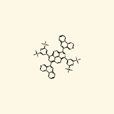 C[Si](C)(C)c1cc(-c2cc(-c3cc4ccccc4c4ccccc34)c3ccc4c(-c5cc([Si](C)(C)C)cc([Si](C)(C)C)c5)cc(-c5cc6ccccc6c6ccccc56)c5ccc2c3c45)cc([Si](C)(C)C)c1